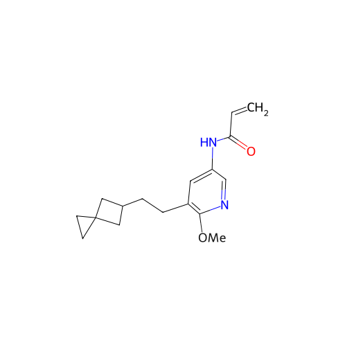 C=CC(=O)Nc1cnc(OC)c(CCC2CC3(CC3)C2)c1